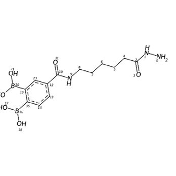 NNC(=O)CCCCCNC(=O)c1ccc(B(O)O)c(B(O)O)c1